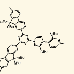 CCCCc1cc(C)ccc1-c1ccc(-c2cc(-c3ccc4c(c3)C(CCCC)(CCCC)c3cc(C)ccc3-4)nc(-c3ccc4c(c3)C(CCCC)(CCCC)c3cc(C)ccc3-4)n2)cc1CCCC